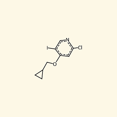 Clc1cc(OCC2CC2)c(I)cn1